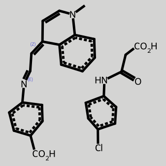 CN1C=C/C(=C/C=N/c2ccc(C(=O)O)cc2)c2ccccc21.O=C(O)CC(=O)Nc1ccc(Cl)cc1